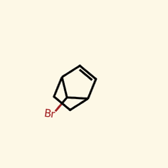 BrC1C2C=CC1CC2